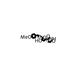 COc1ccc(COC[C@H]2O[C@@H](n3ccc(=O)[nH]c3=O)C[C@@H]2O)cc1